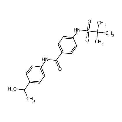 CC(C)c1ccc(NC(=O)c2ccc(NS(=O)(=O)C(C)(C)C)cc2)cc1